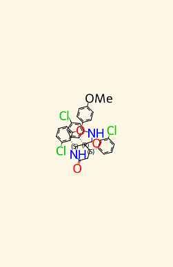 COc1ccc(Oc2cccc(Cl)c2[C@H]2NC(=O)C[C@@H](c3cccc(Cl)c3)[C@]23C(=O)Nc2cc(Cl)ccc23)cc1